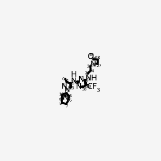 Cc1nn(C2CC3CCC(C2)N3C)cc1Nc1ncc(C(F)(F)F)c(NCCCN2CCC2=O)n1